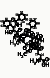 CC(=O)O[C@H]1C(=O)[C@]2(C)[C@@H](OC(=O)CCC(N)C(=O)O)C[C@H]3OC[C@@]3(OC(C)=O)[C@H]2[C@H](OC(=O)c2ccccc2)[C@]2(O)C[C@H](OC(=O)[C@H](O)[C@@H](NC(=O)c3ccccc3)c3ccccc3)C(C)=C1C2(C)C